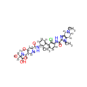 Cc1c(NC(=O)c2cc3c(cn2)CN(C2(C(=O)O)COC2)CO3)cccc1-c1cccc(NC(=O)c2nc3c(n2C)CCN(C)C3)c1Cl